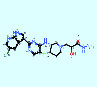 NNC(=O)C(O)CN1CCC[C@H](Nc2nc(-c3c[nH]c4ncc(Cl)cc34)ncc2F)C1